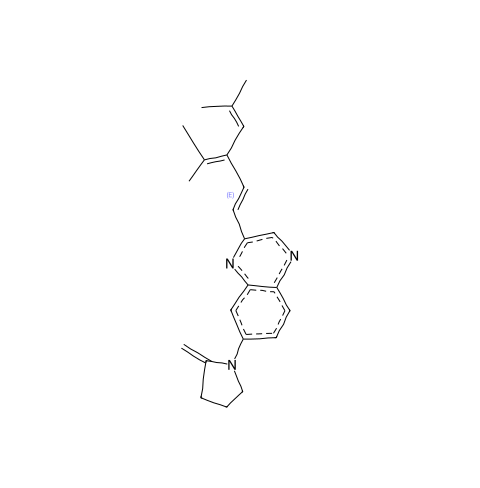 C=C1CCCN1c1ccc2ncc(/C=C/C(C=C(C)C)=C(C)C)nc2c1